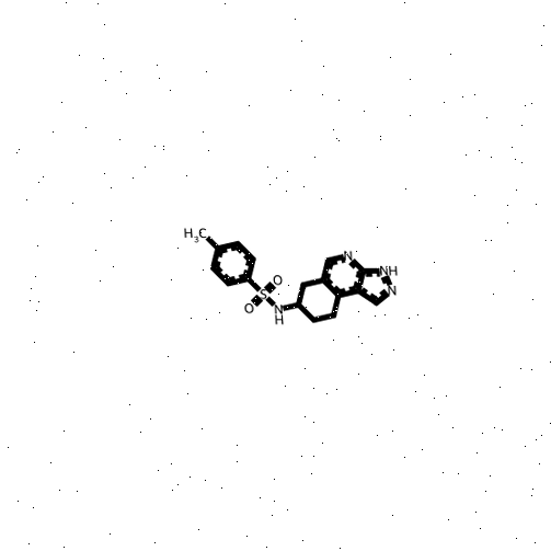 Cc1ccc(S(=O)(=O)NC2CCc3c(cnc4[nH]ncc34)C2)cc1